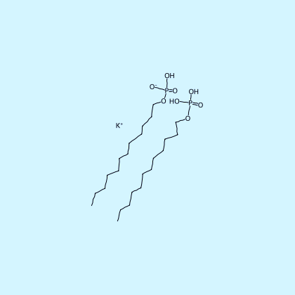 CCCCCCCCCCCCOP(=O)(O)O.CCCCCCCCCCCCOP(=O)([O-])O.[K+]